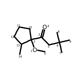 COC1(C(=O)CC(C)(C)C)CCCC1C